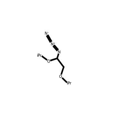 CC(C)OCC(N=[N+]=[N-])OC(C)C